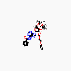 [2H]CCOCCOCO[C@@H]1[C@@H]2O[Si](C(C)C)(C(C)C)O[Si](C(C)C)(C(C)C)OC[C@H]2O[C@H]1n1cnc2c(NC(=O)c3ccccc3)ncnc21